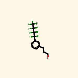 [O]CCCc1cccc(C(F)(F)C(F)(F)C(F)(F)C(F)(F)F)c1